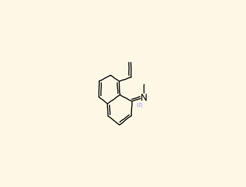 C=CC1=C2C(=CC=C/C2=N/C)C=CC1